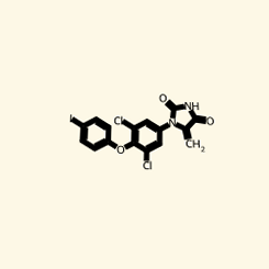 C=C1C(=O)NC(=O)N1c1cc(Cl)c(Oc2ccc(I)cc2)c(Cl)c1